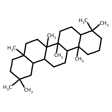 CC1(C)CCC2(C)CCC3(C)C(CCC4C5(C)CCCC(C)(C)C5CCC43C)C2C1